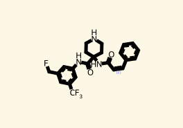 O=C(/C=C\c1ccccc1)NC1(C(=O)Nc2cc(CF)cc(C(F)(F)F)c2)CCNCC1